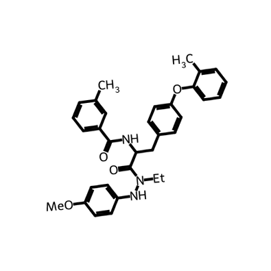 CCN(Nc1ccc(OC)cc1)C(=O)C(Cc1ccc(Oc2ccccc2C)cc1)NC(=O)c1cccc(C)c1